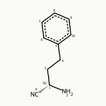 N#C[C@@H](N)CCc1ccccc1